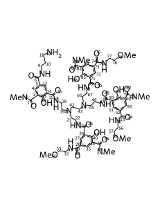 CNC(=O)c1cc(C(=O)NCCCN)cc(C(=O)NCCN(CCNC(=O)c2cc(C(=O)NCCOC)cc(C(=O)NC)c2O)CCN(CCNC(=O)c2cc(C(=O)NCCOC)cc(C(=O)NC)c2O)CCNC(=O)c2cc(C(=O)NCCOC)cc(C(=O)NC)c2O)c1O